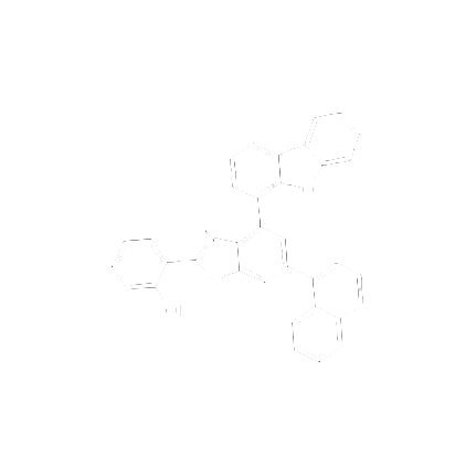 Oc1ccccc1-c1nc2c(-c3cccc4c3oc3ccccc34)cc(-c3cccc4ccccc34)cc2s1